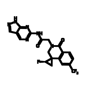 O=C(CN1CC2(C[C@H]2F)c2cc(C(F)(F)F)ccc2C1=O)Nc1ncc2cn[nH]c2n1